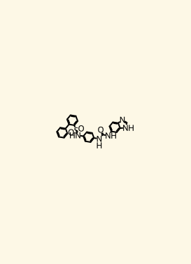 O=C(Nc1ccc(NS(=O)(=O)c2ccccc2-c2ccccc2)cc1)Nc1ccc2nc[nH]c2c1